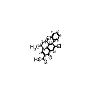 CC1CN(C)c2c(-c3ccccc3)c(Cl)cc3c(=O)c(C(=O)O)cn1c23